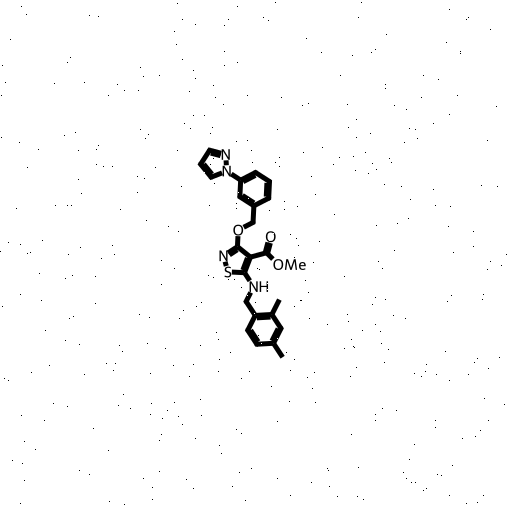 COC(=O)c1c(OCc2cccc(-n3cccn3)c2)nsc1NCc1ccc(C)cc1C